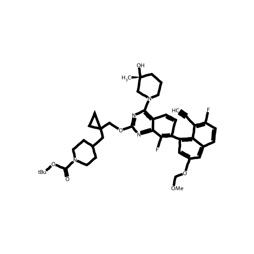 C#Cc1c(F)ccc2cc(OCOC)cc(-c3ccc4c(N5CCC[C@@](C)(O)C5)nc(OCC5(CC6CCN(C(=O)OC(C)(C)C)CC6)CC5)nc4c3F)c12